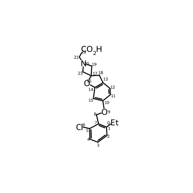 CCc1cccc(Cl)c1COc1ccc2c(c1)OC1(C2)CN(CC(=O)O)C1